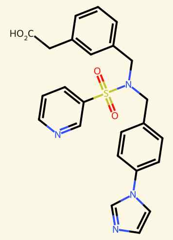 O=C(O)Cc1cccc(CN(Cc2ccc(-n3ccnc3)cc2)S(=O)(=O)c2cccnc2)c1